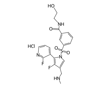 CNCc1cn(S(=O)(=O)c2cccc(C(=O)NCCO)c2)c(-c2cccnc2F)c1F.Cl